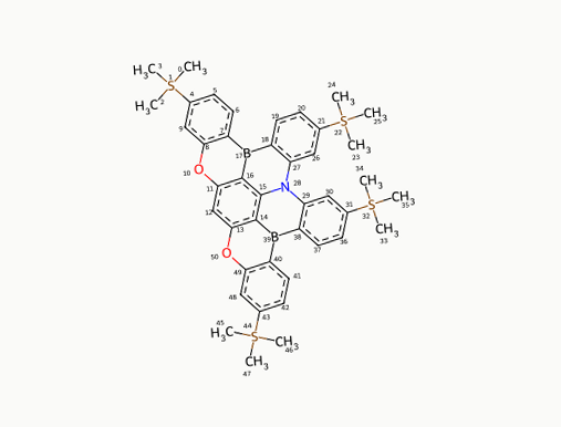 CS(C)(C)c1ccc2c(c1)Oc1cc3c4c5c1B2c1ccc(S(C)(C)C)cc1N5c1cc(S(C)(C)C)ccc1B4c1ccc(S(C)(C)C)cc1O3